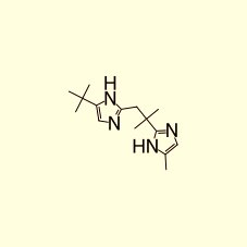 Cc1cnc(C(C)(C)Cc2ncc(C(C)(C)C)[nH]2)[nH]1